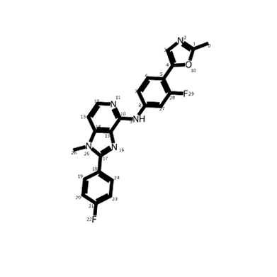 Cc1ncc(-c2ccc(Nc3nccc4c3nc(-c3ccc(F)cc3)n4C)cc2F)o1